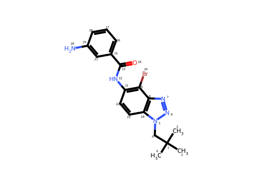 CC(C)(C)Cn1nnc2c(Br)c(NC(=O)c3cccc(N)c3)ccc21